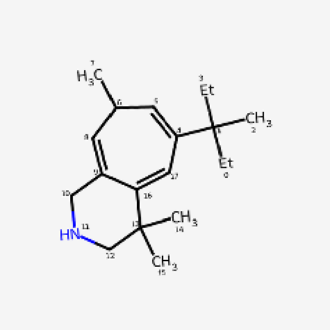 CCC(C)(CC)C1=CC(C)C=C2CNCC(C)(C)C2=C1